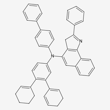 C1=CC(c2cc(N(c3ccc(-c4ccccc4)cc3)c3cc4ccccc4c4c3CC(c3ccccc3)=N4)ccc2C2=CCCCC2)=CCC1